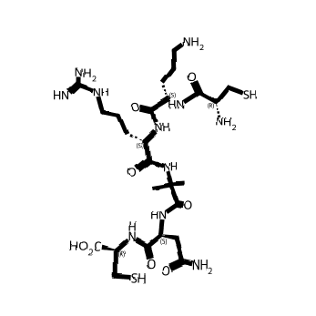 CC(C)(NC(=O)[C@H](CCCNC(=N)N)NC(=O)[C@H](CCCN)NC(=O)[C@@H](N)CS)C(=O)N[C@@H](CC(N)=O)C(=O)N[C@@H](CS)C(=O)O